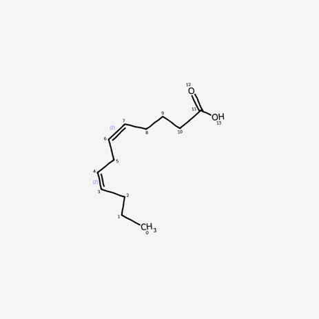 CCC/C=C\C/C=C\CCCC(=O)O